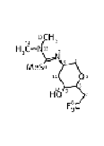 CS/C(=N\[C@H]1COC(CC(F)(F)F)[C@@H](O)C1)N(C)C